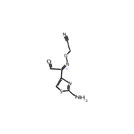 N#CCO/N=C(\[C]=O)c1csc(N)n1